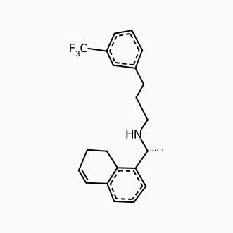 C[C@@H](NCCCc1cccc(C(F)(F)F)c1)c1cccc2c1CCC=C2